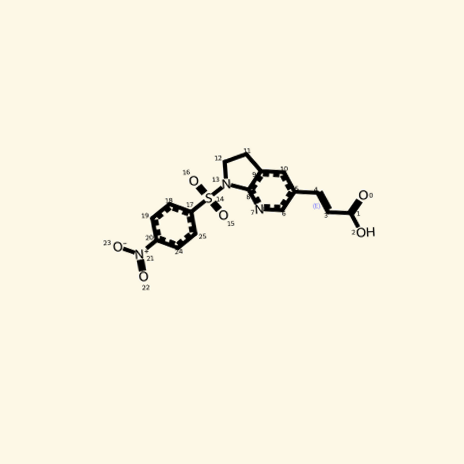 O=C(O)/C=C/c1cnc2c(c1)CCN2S(=O)(=O)c1ccc([N+](=O)[O-])cc1